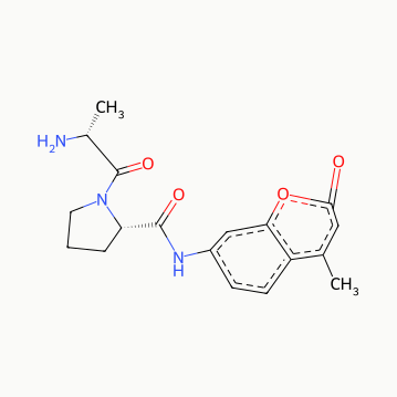 Cc1cc(=O)oc2cc(NC(=O)[C@@H]3CCCN3C(=O)[C@@H](C)N)ccc12